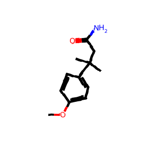 COc1ccc(C(C)(C)CC(N)=O)cc1